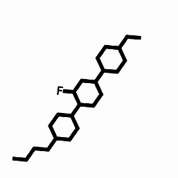 CCCCC1CCC(C2CCC(C3CCC(CC)CC3)CC2F)CC1